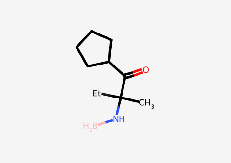 BNC(C)(CC)C(=O)C1CCCC1